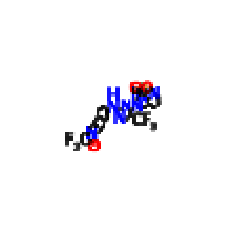 CN(c1ncccc1CNc1nc(Nc2ccc3c(c2)C2CC3CN(C(=O)C(F)(F)F)C2)ncc1C(F)(F)F)S(C)(=O)=O